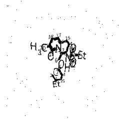 CCC1CCC(OCC2C(NS(=O)(=O)CC)CCc3ccc(C)c(=O)n32)CC1